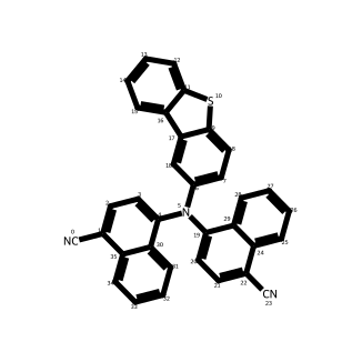 N#Cc1ccc(N(c2ccc3sc4ccccc4c3c2)c2ccc(C#N)c3ccccc23)c2ccccc12